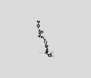 Cc1ncsc1-c1ccc([C@H](C)NC(=O)[C@@H]2C[C@@H](O)CN2C(=O)[C@@H](NC(=O)CCCN2CCN(c3ccc(C(=O)NC4C(C)(C)C(Oc5ccc(C#N)c(Cl)c5)C4(C)C)cn3)CC2)C(C)(C)C)cc1